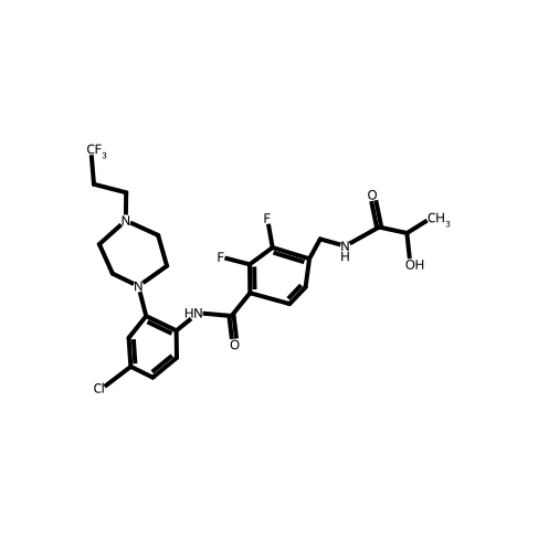 CC(O)C(=O)NCc1ccc(C(=O)Nc2ccc(Cl)cc2N2CCN(CCC(F)(F)F)CC2)c(F)c1F